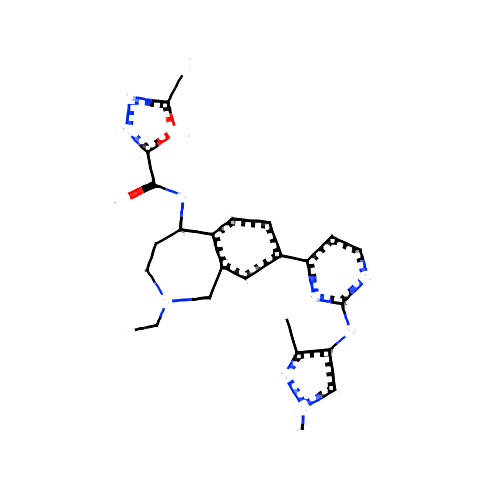 Cc1nn(C)cc1Nc1nccc(-c2ccc3c(c2)CN(CC(F)(F)F)CCC3NC(=O)c2nnc(C(C)(C)C)o2)n1